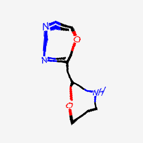 c1nnc(C2NCCO2)o1